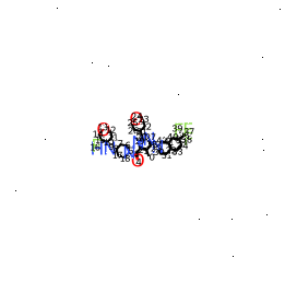 Cc1c(C(=O)N2CCC(N[C@H]3CCOC[C@H]3F)CC2)nc(C2CCOCC2)nc1N1CCc2ccc(C(F)(F)F)cc2C1